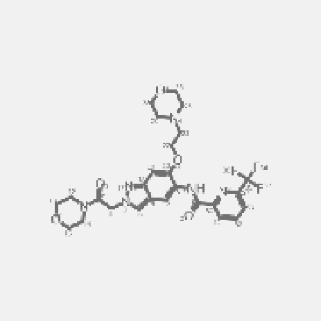 O=C(Nc1cc2cn(CC(=O)N3CCOCC3)nc2cc1OCCN1CCOCC1)c1cccc(C(F)(F)F)n1